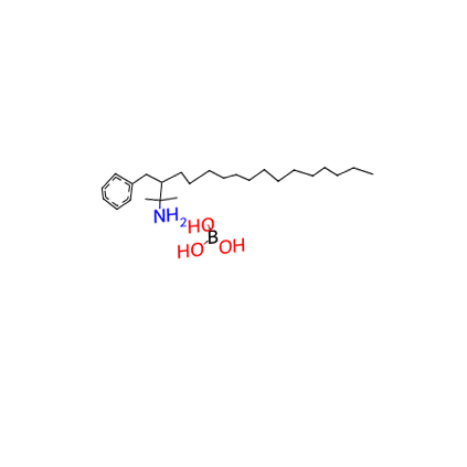 CCCCCCCCCCCCCCC(Cc1ccccc1)C(C)(C)N.OB(O)O